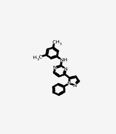 Cc1cc(C)cc(Nc2nccc(-c3ccnn3-c3ccccc3)n2)c1